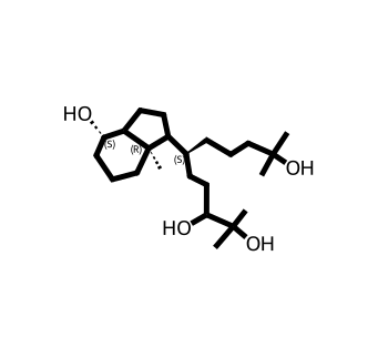 CC(C)(O)CCC[C@@H](CCC(O)C(C)(C)O)C1CCC2[C@@H](O)CCC[C@]12C